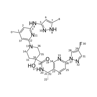 Cc1cc(Nc2cc(C)[nH]n2)nc(N2CCC(O)(C(=O)N[C@@H](C)c3ccc(-n4cc(F)cn4)nc3)CC2)c1